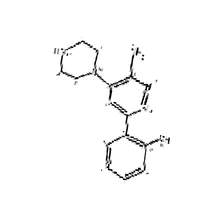 Nc1nnc(-c2cnccc2O)cc1N1CCNCC1